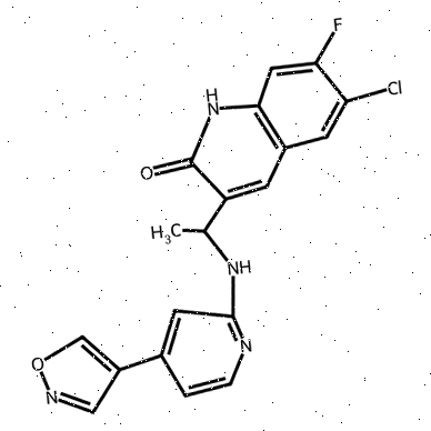 CC(Nc1cc(-c2cnoc2)ccn1)c1cc2cc(Cl)c(F)cc2[nH]c1=O